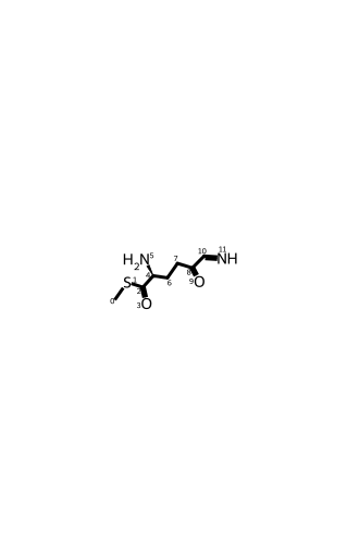 CSC(=O)[C@@H](N)CCC(=O)C=N